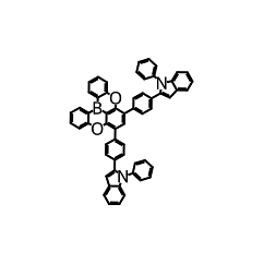 c1ccc(-n2c(-c3ccc(-c4cc(-c5ccc(-c6cc7ccccc7n6-c6ccccc6)cc5)c5c6c4Oc4ccccc4B6c4ccccc4O5)cc3)cc3ccccc32)cc1